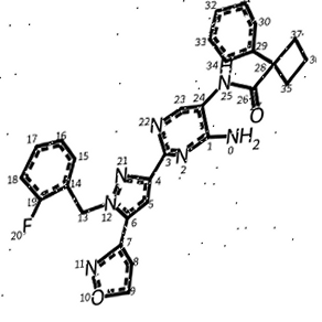 Nc1nc(-c2cc(-c3ccon3)n(Cc3ccccc3F)n2)ncc1NC(=O)C1(c2ccccc2)CCC1